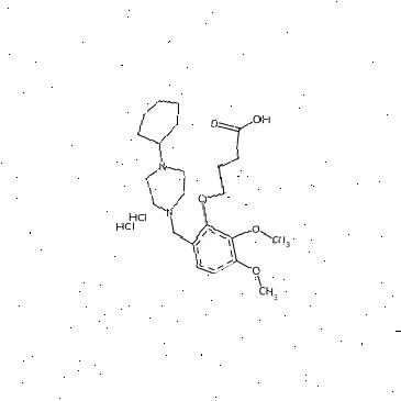 COc1ccc(CN2CCN(C3CCCCC3)CC2)c(OCCCC(=O)O)c1OC.Cl.Cl